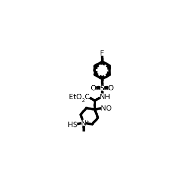 CCOC(=O)C(NS(=O)(=O)c1ccc(F)cc1)C1(N=O)CC[N+](C)(S)CC1